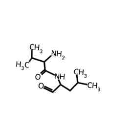 CC(C)CC([C]=O)NC(=O)C(N)C(C)C